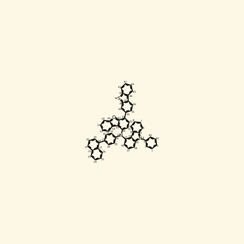 c1ccc(-n2c3ccccc3c3c(N(c4ccc(-c5cccc6ccccc56)cc4)c4ccc(-c5ccc6c(c5)sc5ccccc56)c5oc6ccccc6c45)cccc32)cc1